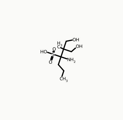 CCCC(N)(C(C)(CO)CO)S(=O)(=O)O